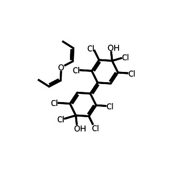 C/C=C\O/C=C\C.OC1(Cl)C(Cl)=C/C(=C2/C=C(Cl)C(O)(Cl)C(Cl)=C2Cl)C(Cl)=C1Cl